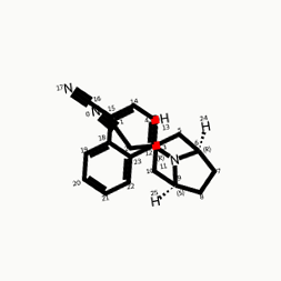 N#CC[C@]1(O)C[C@H]2CC[C@@H](C1)N2c1ccc(C#N)c2ccccc12